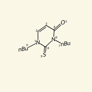 CCCCn1ccc(=O)n(CCCC)c1=S